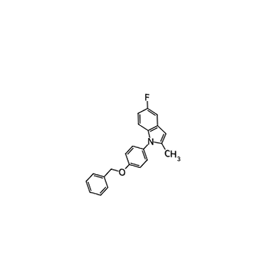 Cc1cc2cc(F)ccc2n1-c1ccc(OCc2ccccc2)cc1